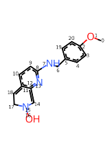 COc1ccc(CNc2ccc3c(n2)=CN(O)CC=3)cc1